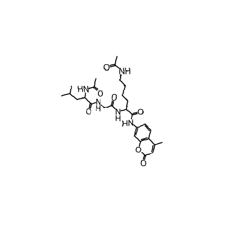 CC(=O)NCCCCC(NC(=O)CNC(=O)C(CC(C)C)NC(C)=O)C(=O)Nc1ccc2c(C)cc(=O)oc2c1